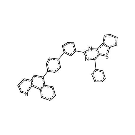 c1ccc(-c2nc(-c3cccc(-c4ccc(-c5cc6cccnc6c6ccccc56)cc4)c3)nc3c2sc2ccccc23)cc1